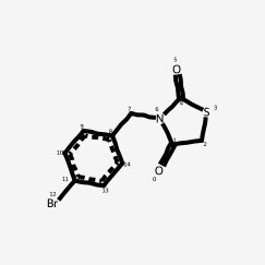 O=C1CSC(=O)N1Cc1ccc(Br)cc1